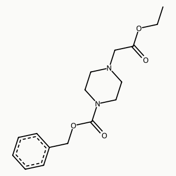 CCOC(=O)CN1CCN(C(=O)OCc2ccccc2)CC1